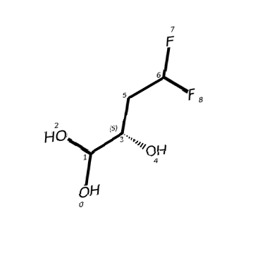 OC(O)[C@@H](O)CC(F)F